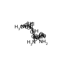 CN1CCN(C(=O)Oc2cc3c(c4ccccc24)[C@H](CCl)CN3C(=O)c2cc3cc(NC(=O)c4ccc(NC(=O)[C@H](CCCCN)NC(=O)[C@H](CCCCN)NCCNC(=O)CN5C(=O)C=CC5=O)cc4)ccc3[nH]2)CC1